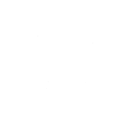 C=CCCCCC(COCCOC(=O)C=C)(COCCOC(=O)C=C)COCC(COCCC=C)(COCCCC(=O)C=C)COCCOC(=O)C=C